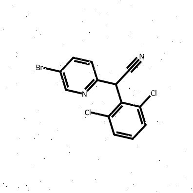 N#CC(c1ccc(Br)cn1)c1c(Cl)cccc1Cl